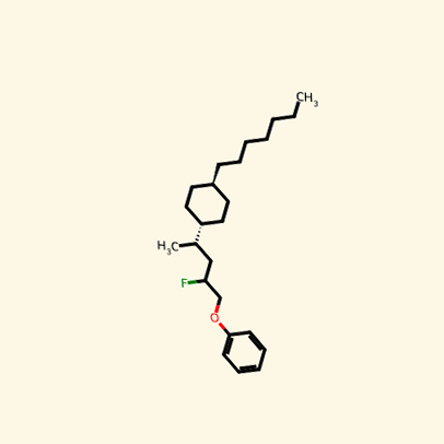 CCCCCCC[C@H]1CC[C@H](C(C)CC(F)COc2ccccc2)CC1